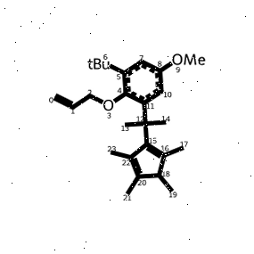 C=CCOc1c(C(C)(C)C)cc(OC)cc1C(C)(C)C1=C(C)C(C)C(C)=C1C